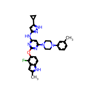 Cc1cccc(N2CCN(c3cc(Nc4cc(C5CC5)[nH]n4)nc(Oc4ccc5[nH]c(C)cc5c4F)n3)CC2)c1